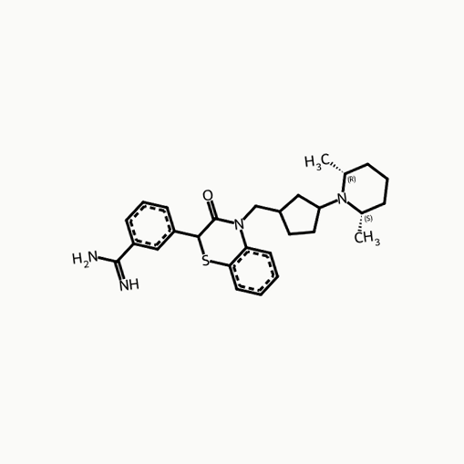 C[C@@H]1CCC[C@H](C)N1C1CCC(CN2C(=O)C(c3cccc(C(=N)N)c3)Sc3ccccc32)C1